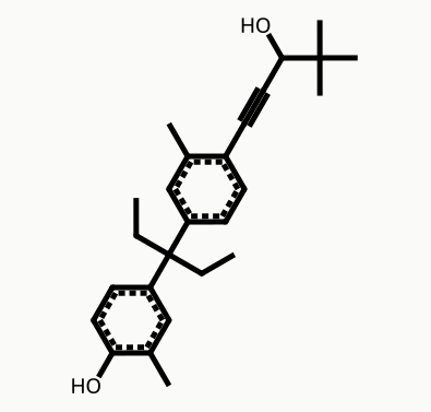 CCC(CC)(c1ccc(O)c(C)c1)c1ccc(C#CC(O)C(C)(C)C)c(C)c1